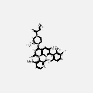 C=CC(=O)N1CCN(c2nc(=O)n(-c3c(SC)ccnc3C(C)C)c3nc(-c4c(F)ccc(F)c4N)c(Cl)cc23)[C@@H](C)C1